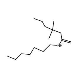 C=C(CC(C)(C)CCC)NCCCCCCC